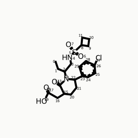 CCC(CNS(=O)(=O)C1CCC1)N1C(=O)C(CC(=O)O)CCC1c1ccc(Cl)cc1